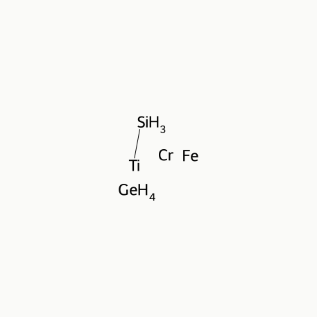 [Cr].[Fe].[GeH4].[SiH3][Ti]